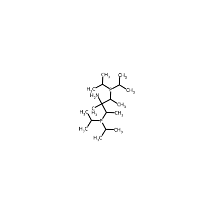 CC(C)P(C(C)C)C(C)C(C)(N)C(C)P(C(C)C)C(C)C